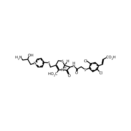 NCC(O)C[n+]1ccc(SCC2=C(C(=O)O)N3C(=O)C(NC(=O)CSc4cc(Cl)c(C=CC(=O)O)cc4Cl)[C@H]3SC2)cc1